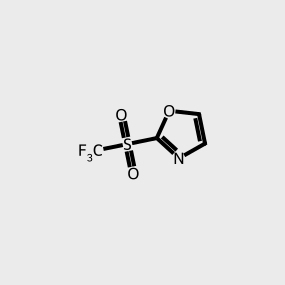 O=S(=O)(c1ncco1)C(F)(F)F